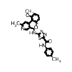 COc1cccc(F)c1-c1cc(C)ncc1C(=O)Nc1nnc(C(=O)Nc2ccc(C)cc2)s1